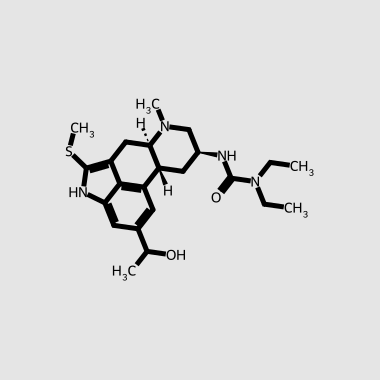 CCN(CC)C(=O)N[C@H]1C[C@@H]2c3cc(C(C)O)cc4[nH]c(SC)c(c34)C[C@H]2N(C)C1